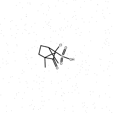 CC12CCC(C1(C)C)C(Cl)(S(=O)(=O)O)C2=O